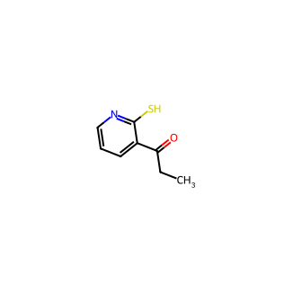 CCC(=O)c1cccnc1S